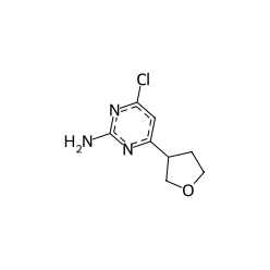 Nc1nc(Cl)cc(C2CCOC2)n1